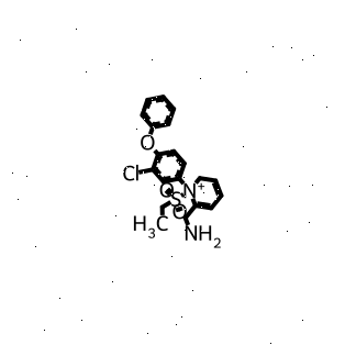 CCS(=O)(=O)[N+]1(c2ccc(Oc3ccccc3)c(Cl)c2)CC=CC=C1CN